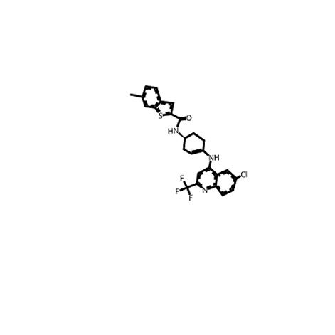 Cc1ccc2cc(C(=O)N[C@@H]3CC=C(Nc4cc(C(F)(F)F)nc5ccc(Cl)cc45)CC3)sc2c1